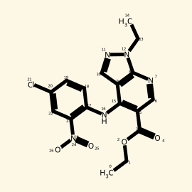 CCOC(=O)c1cnc2c(cnn2CC)c1Nc1ccc(Cl)cc1[N+](=O)[O-]